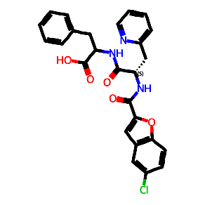 O=C(N[C@@H](Cc1ccccn1)C(=O)NC(Cc1ccccc1)C(=O)O)c1cc2cc(Cl)ccc2o1